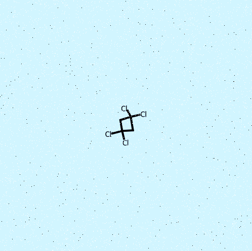 ClC1(Cl)CC(Cl)(Cl)C1